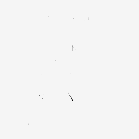 O=C(N[C@@H]1COCC1=O)O[C@@H](CC1CCCCC1)C(=O)N1CCOCC1